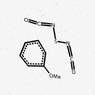 COc1ccccc1.O=C=NSN=C=O